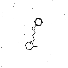 CC1CCCCN1CCCOc1ccccc1